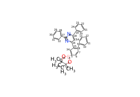 CC1(C)OB(c2ccc(-c3ccccc3)c(-c3cc(-c4ccccc4)nc(-c4ccccc4)n3)c2)OC1(C)C